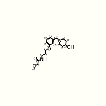 COCC(=O)NCCCOc1cccc(CN2CCC(O)CC2)c1